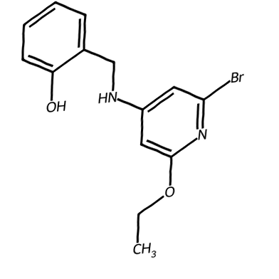 CCOc1cc(NCc2ccccc2O)cc(Br)n1